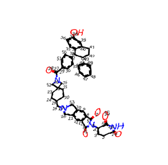 O=C1CCC(N2C(=O)c3cc4c(cc3C2=O)CN(CC2CCC3(CC2)CN(C(=O)c2ccc([C@@H]5c6ccc(O)cc6CC[C@@H]5c5ccccc5)cc2)C3)C4)C(=O)N1